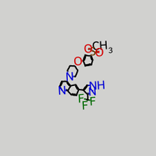 CS(=O)(=O)c1cccc(OC2CCN(c3ccnc4ccc(-c5c[nH]nc5C(F)(F)F)cc34)CC2)c1